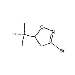 CC(C)(C)C1CC(Br)=NO1